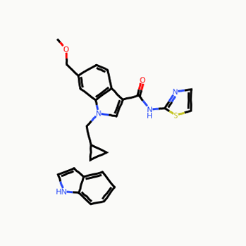 COCc1ccc2c(C(=O)Nc3nccs3)cn(CC3CC3)c2c1.c1ccc2[nH]ccc2c1